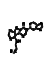 C=CCNc1ncnc2sc3c(=O)n(-c4ccc5scnc5c4)cnc3c12